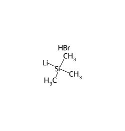 Br.[Li][Si](C)(C)C